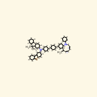 C=C1/C=C\C=C/CN(c2ccccc2)c2ccc(-c3ccc(-c4ccc(N(c5ccc6c(c5)C(C)(C)c5ccccc5-6)c5ccc6sc7ccccc7c6c5)cc4)cc3)cc21